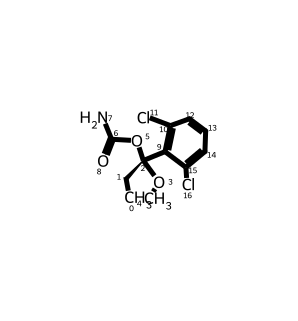 CC[C@@](OC)(OC(N)=O)c1c(Cl)cccc1Cl